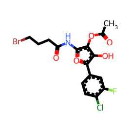 CC(=O)Oc1c(NC(=O)CCCBr)oc(-c2ccc(Cl)c(F)c2)c1O